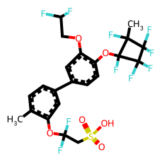 Cc1ccc(-c2ccc(OC3(F)C(C)(F)C(F)(F)C3(F)F)c(OCC(F)F)c2)cc1OC(F)(F)CS(=O)(=O)O